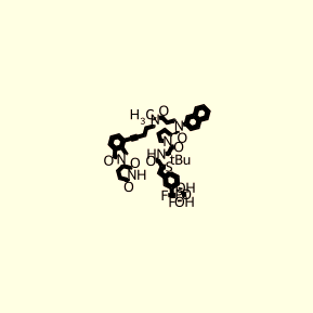 CN(CCCC#Cc1cccc2c1CN(C1CCC(=O)NC1=O)C2=O)C(=O)CCN(C(=O)[C@@H]1CCCN1C(=O)C(NC(=O)c1cc2cc(C(F)(F)P(=O)(O)O)ccc2s1)C(C)(C)C)c1ccc2ccccc2c1